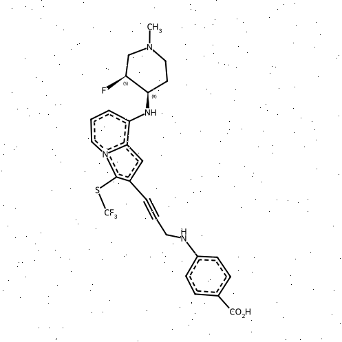 CN1CC[C@@H](Nc2cccn3c(SC(F)(F)F)c(C#CCNc4ccc(C(=O)O)cc4)cc23)[C@@H](F)C1